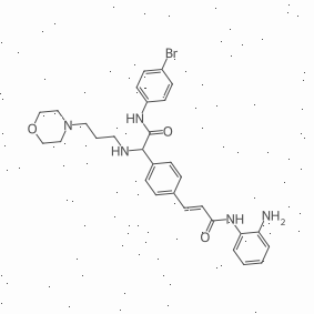 Nc1ccccc1NC(=O)/C=C/c1ccc(C(NCCCN2CCOCC2)C(=O)Nc2ccc(Br)cc2)cc1